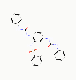 Cc1ccccc1S(=O)(=O)Nc1cc(NC(=O)Nc2ccccc2)ccc1NC(=O)Nc1ccccc1